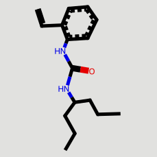 C=Cc1ccccc1NC(=O)NC(CCC)CCC